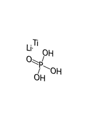 O=P(O)(O)O.[Li].[Ti]